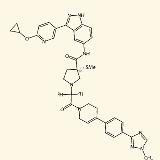 [2H]C([2H])(C(=O)N1CC=C(c2ccc(-c3ncn(C)n3)cc2)CC1)N1CC[C@@](SC)(C(=O)Nc2ccc3[nH]nc(-c4ccc(OC5CC5)nc4)c3c2)C1